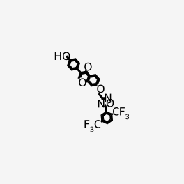 O=c1c(-c2ccc(O)cc2)coc2cc(OCc3noc(-c4cc(C(F)(F)F)ccc4C(F)(F)F)n3)ccc12